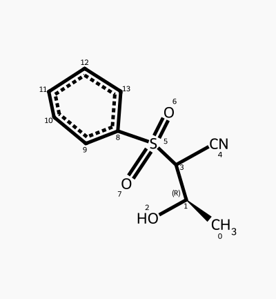 C[C@@H](O)C(C#N)S(=O)(=O)c1ccccc1